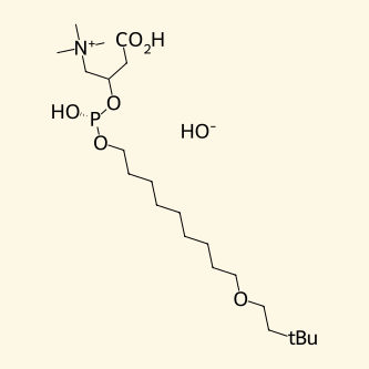 CC(C)(C)CCOCCCCCCCCCO[P@](O)OC(CC(=O)O)C[N+](C)(C)C.[OH-]